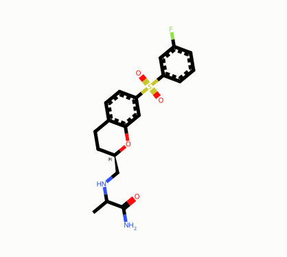 CC(NC[C@H]1CCc2ccc(S(=O)(=O)c3cccc(F)c3)cc2O1)C(N)=O